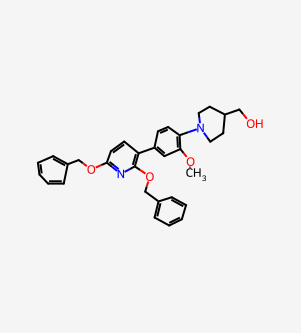 COc1cc(-c2ccc(OCc3ccccc3)nc2OCc2ccccc2)ccc1N1CCC(CO)CC1